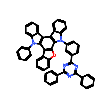 c1ccc(-c2nc(-c3ccccc3)nc(-c3cccc(-n4c5ccccc5c5c6c7ccccc7n(-c7ccccc7)c6c6c7ccccc7oc6c54)c3)n2)cc1